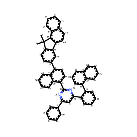 CC1(C)c2ccc(-c3ccc(-c4nc(-c5ccccc5)cc(-c5ccccc5-c5cccc6ccccc56)n4)c4ccccc34)cc2-c2ccc3ccccc3c21